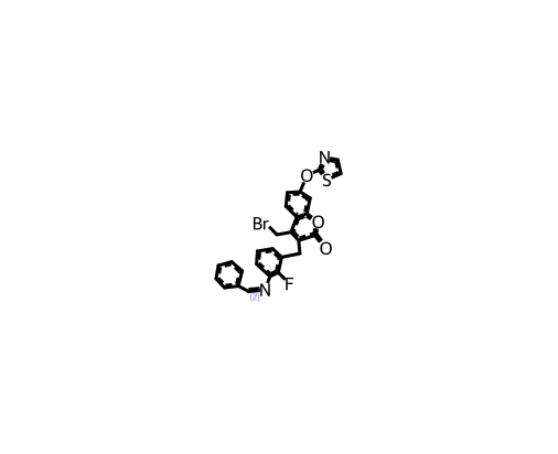 O=c1oc2cc(Oc3nccs3)ccc2c(CBr)c1Cc1cccc(/N=C\c2ccccc2)c1F